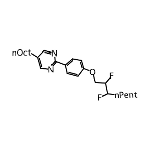 CCCCCCCCc1cnc(-c2ccc(OCC(F)C(F)CCCCC)cc2)nc1